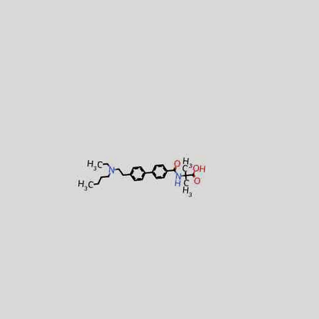 CCCCN(CC)CCc1ccc(-c2ccc(C(=O)NC(C)(C)C(=O)O)cc2)cc1